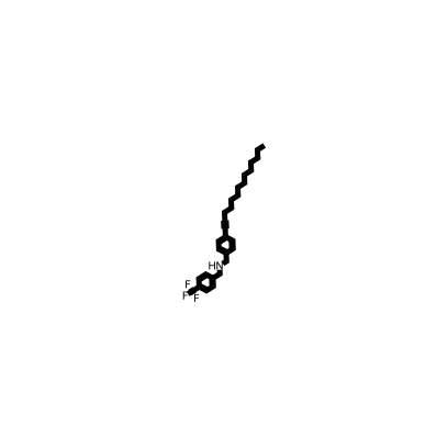 CCCCCCCCCCCCC#Cc1ccc(CNCc2ccc(C(F)(F)F)cc2)cc1